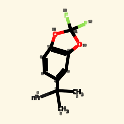 CCCC(C)(C)c1ccc2c(c1)OC(F)(F)O2